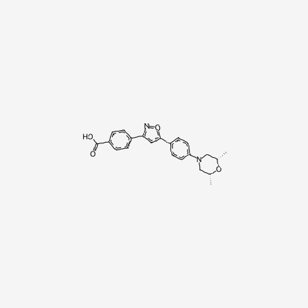 C[C@@H]1CN(c2ccc(-c3cc(-c4ccc(C(=O)O)cc4)no3)cc2)C[C@H](C)O1